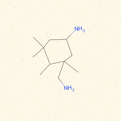 CC1C(C)(C)CC(N)CC1(C)CN